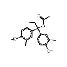 CCC(OC(C)=O)(c1ccc(O)c(C)c1)c1ccc(O)c(C)c1